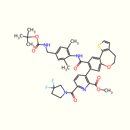 COC(=O)c1nc(C(=O)N2CCC(F)(F)C2)ccc1-c1cc2c(cc1C(=O)Nc1c(C)cc(CNC(=O)OC(C)(C)C)cc1C)-c1sccc1CCO2